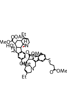 CCC1=C[C@H]2CN(C1)Cc1c([nH]c3ccc(SCCC(=O)OC)cc13)[C@@](C(=O)OC)(c1cc3c(cc1OC)N(C)[C@H]1[C@@](O)(C(=O)OC)[C@H](OC(C)=O)C4C(CC)=CCN5CC[C@]31[C@H]45)C2